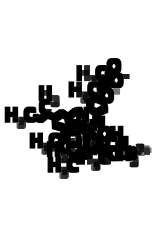 CC(=O)[O-].CC(=O)[O-].CCC(C)c1cc(C=Nc2ccccc2N=Cc2cc(C(C)CC)cc(C(C)(C)C)c2O)c(O)c(C(C)(C)C)c1.[Co+2]